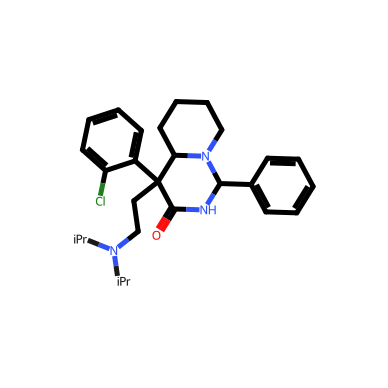 CC(C)N(CCC1(c2ccccc2Cl)C(=O)NC(c2ccccc2)N2CCCCC21)C(C)C